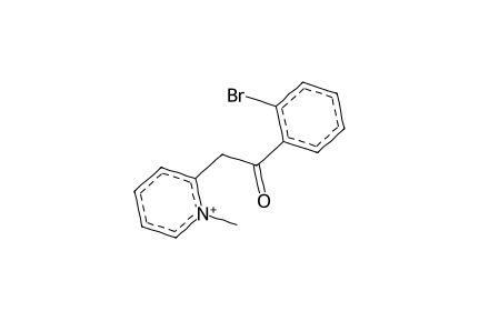 C[n+]1ccccc1CC(=O)c1ccccc1Br